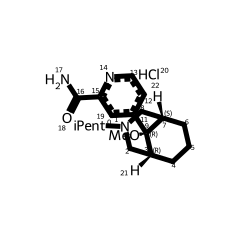 CCCC(C)N1C[C@H]2CCC[C@@H](C1)[C@]2(OC)c1ccnc(C(N)=O)c1.Cl